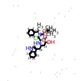 CC(c1ccccc1Cl)N(CCNC(CC(=O)O)Cc1c[nH]c2ccccc12)C(=O)OC(C)(C)C